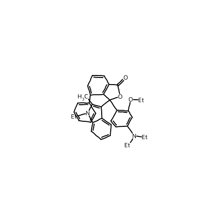 CCOc1cc(N(CC)CC)ccc1C1(c2c(C)n(CC)c3ccccc23)OC(=O)c2cccc(-c3ccccc3)c21